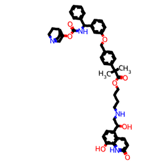 CC(C)(C(=O)OCCCCNCC(O)c1ccc(O)c2[nH]c(=O)ccc12)c1ccc(COc2cccc(C(NC(=O)OC3CN4CCC3CC4)c3ccccc3)c2)cc1